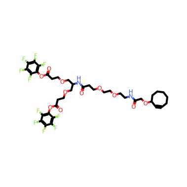 O=C(COC1C#CCCCCC1)NCCOCCOCCC(=O)NC(COCCC(=O)Oc1c(F)c(F)c(F)c(F)c1F)COCCC(=O)Oc1c(F)c(F)c(F)c(F)c1F